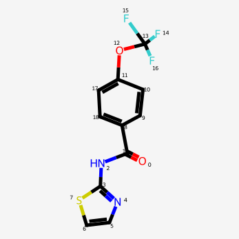 O=C(Nc1nccs1)c1ccc(OC(F)(F)F)cc1